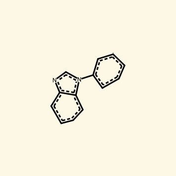 [c]1cccc(-n2cnc3ccccc32)c1